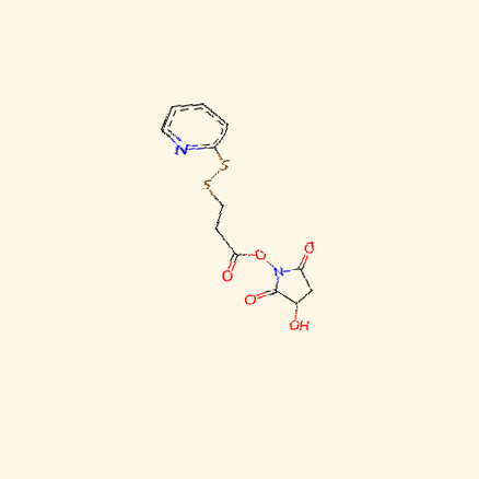 O=C(CCSSc1ccccn1)ON1C(=O)CC(O)C1=O